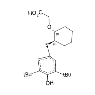 CC(C)(C)c1cc(S[C@@H]2CCCC[C@H]2OCC(=O)O)cc(C(C)(C)C)c1O